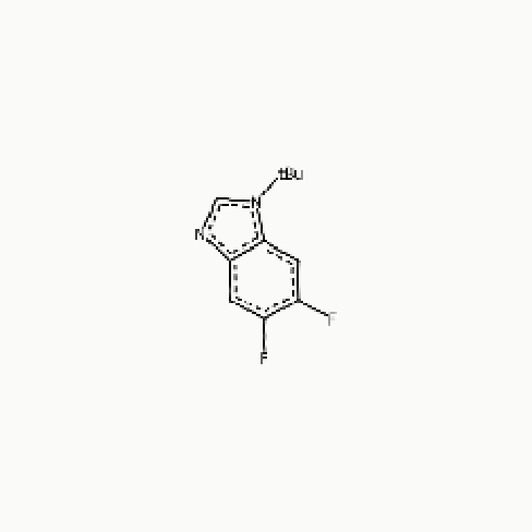 CC(C)(C)n1cnc2cc(F)c(F)cc21